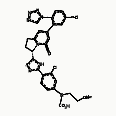 COCCN(C(=O)O)c1ccc(-c2nnc([C@@H]3CCc4cc(-c5cc(Cl)ccc5-n5cnnn5)cc(=O)n43)[nH]2)c(Cl)c1